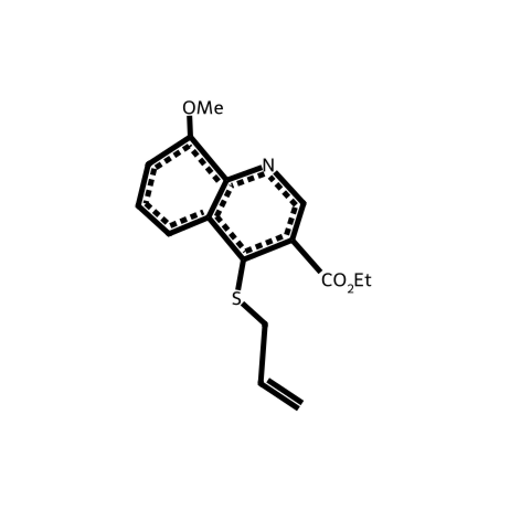 C=CCSc1c(C(=O)OCC)cnc2c(OC)cccc12